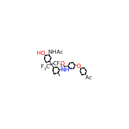 CC(=O)Nc1cc(C(c2ccc(C)c(NC(=O)c3ccc(Oc4ccc(C(C)=O)cc4)cc3)c2)(C(F)(F)F)C(F)(F)F)ccc1O